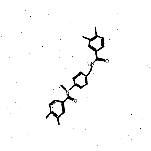 Cc1ccc(C(=O)NCc2ccc(N(C)C(=O)c3ccc(C)c(C)c3)cc2)cc1C